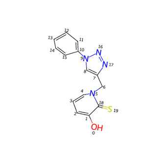 Oc1cccn(Cc2cn(-c3ccccc3)nn2)c1=S